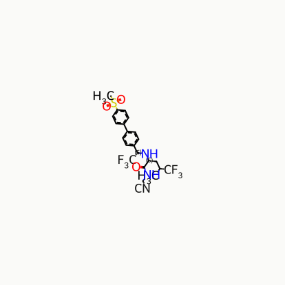 CC(C[C@H](N[C@@H](c1ccc(-c2ccc(S(C)(=O)=O)cc2)cc1)C(F)(F)F)C(=O)NCC#N)C(F)(F)F